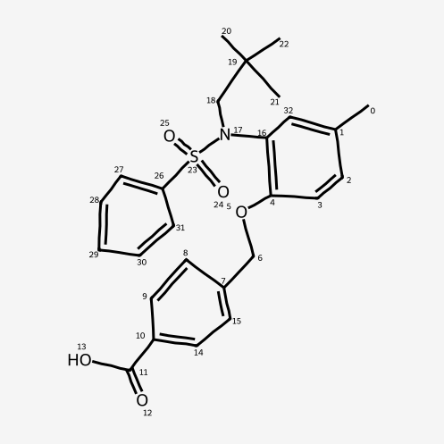 Cc1ccc(OCc2ccc(C(=O)O)cc2)c(N(CC(C)(C)C)S(=O)(=O)c2ccccc2)c1